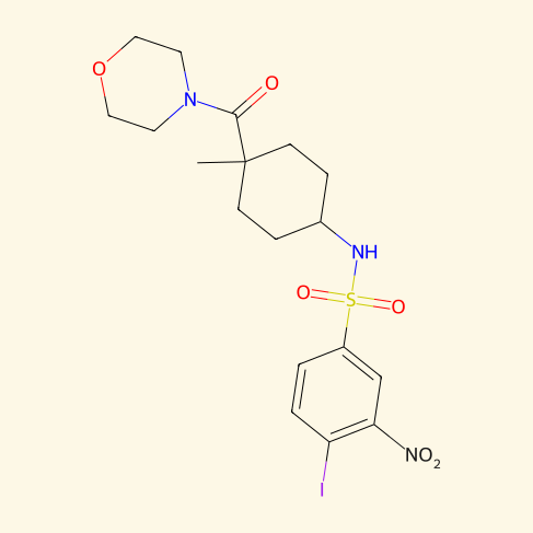 CC1(C(=O)N2CCOCC2)CCC(NS(=O)(=O)c2ccc(I)c([N+](=O)[O-])c2)CC1